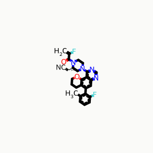 C=C(F)C(=O)N1CCN(c2ncnc3cc(-c4c(C)cccc4F)c4c(c23)OCCC4)C[C@@H]1CC#N